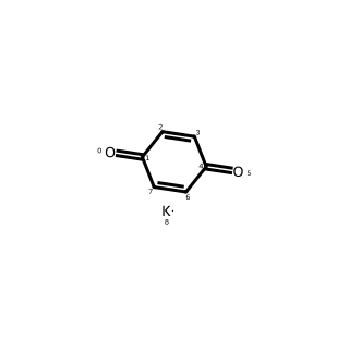 O=C1C=CC(=O)C=C1.[K]